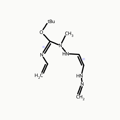 C=C/N=C(/OC(C)(C)C)N(C)N/C=C\NN=C